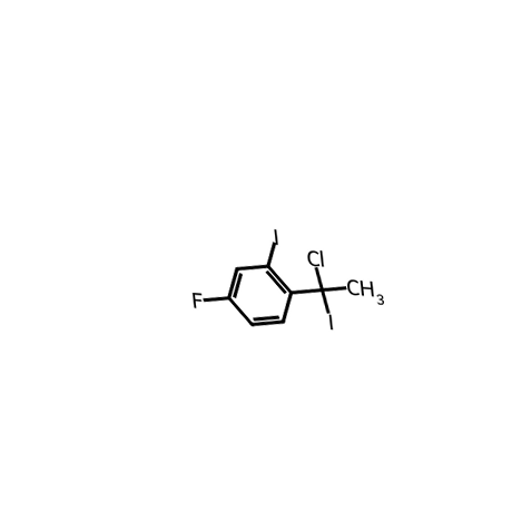 CC(Cl)(I)c1ccc(F)cc1I